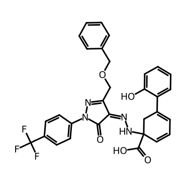 O=C1/C(=N\NC2(C(=O)O)C=CC=C(c3ccccc3O)C2)C(COCc2ccccc2)=NN1c1ccc(C(F)(F)F)cc1